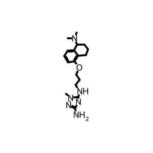 CN(C)C1CCCc2c(OCCCNc3nc(N)nn3C)cccc21